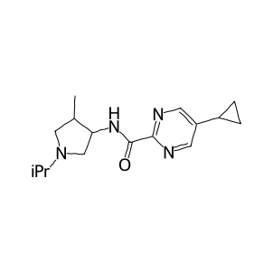 CC1CN(C(C)C)CC1NC(=O)c1ncc(C2CC2)cn1